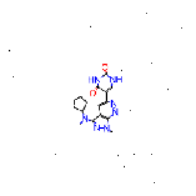 CN(c1nn(C)c2nnc(-c3c[nH]c(=O)[nH]c3=O)cc12)C1CCCC1